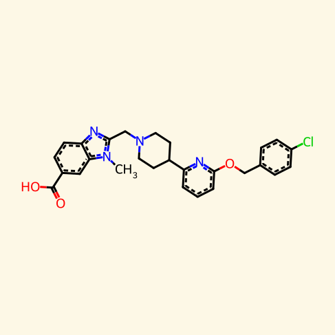 Cn1c(CN2CCC(c3cccc(OCc4ccc(Cl)cc4)n3)CC2)nc2ccc(C(=O)O)cc21